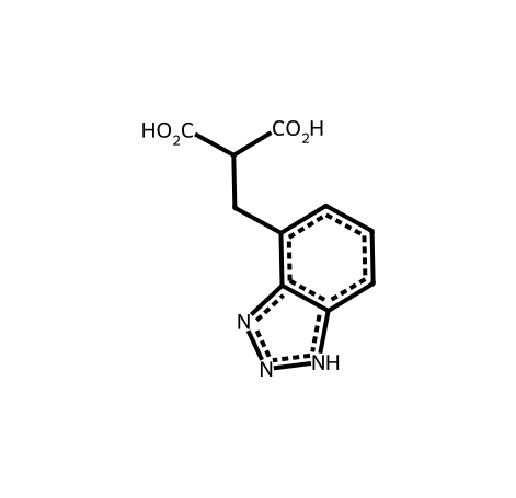 O=C(O)C(Cc1cccc2[nH]nnc12)C(=O)O